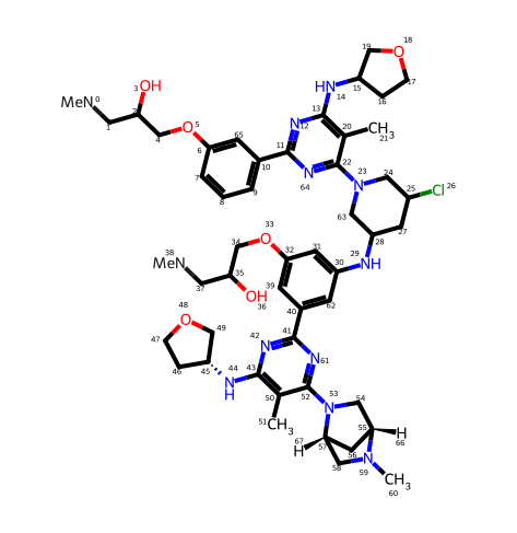 CNCC(O)COc1cccc(-c2nc(NC3CCOC3)c(C)c(N3CC(Cl)CC(Nc4cc(OCC(O)CNC)cc(-c5nc(N[C@@H]6CCOC6)c(C)c(N6C[C@H]7C[C@@H]6CN7C)n5)c4)C3)n2)c1